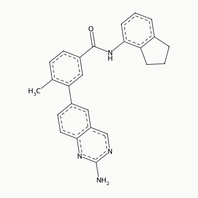 Cc1ccc(C(=O)Nc2cccc3c2CCC3)cc1-c1ccc2nc(N)ncc2c1